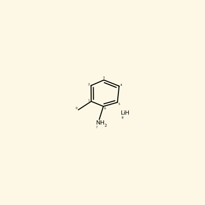 Cc1ccccc1N.[LiH]